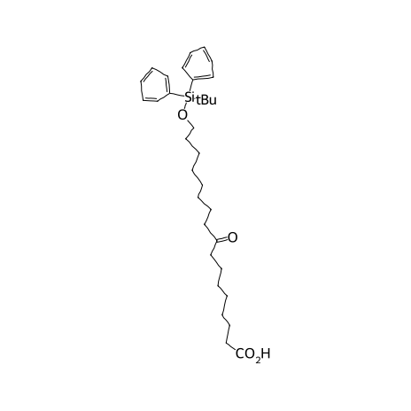 CC(C)(C)[Si](OCCCCCCCCC(=O)CCCCCCCC(=O)O)(c1ccccc1)c1ccccc1